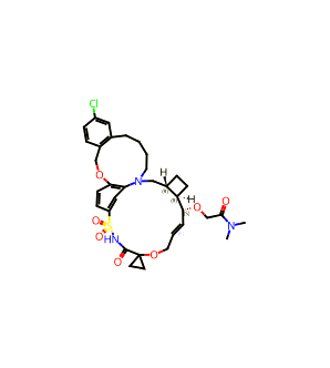 CN(C)C(=O)CO[C@@H]1/C=C/COC2(CC2)C(=O)NS(=O)(=O)c2ccc3c(c2)N(CCCCc2cc(Cl)ccc2CO3)C[C@@H]2CC[C@H]21